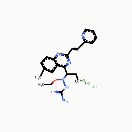 CCON(NC(=N)N)C(CC)c1nc(/C=C/c2ccccn2)nc2ccc(C)cc12.Cl.Cl.Cl